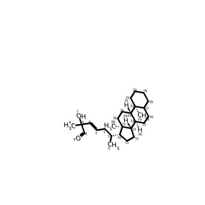 CC(CC=CC(C)(O)C=O)[C@H]1CC[C@H]2[C@@H]3CCC4CCCC[C@]4(C)[C@H]3CC[C@]12C